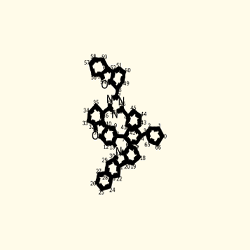 c1ccc(-c2ccc(-c3cc4c(cc3-n3c5ccccc5c5cc6ccccc6cc53)oc3cccc(-c5nc(-c6ccccc6)nc(-c6cccc7c6oc6ccccc67)n5)c34)cc2)cc1